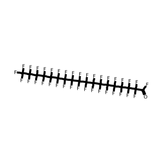 O=C(F)C(F)(F)C(F)(F)C(F)(F)C(F)(F)C(F)(F)C(F)(F)C(F)(F)C(F)(F)C(F)(F)C(F)(F)C(F)(F)C(F)(F)C(F)(F)C(F)(F)C(F)(F)C(F)(F)C(F)(F)F